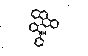 c1ccc(Nc2ccccc2-c2cc3ccccc3c3ccc4ccccc4c23)cc1